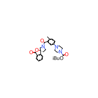 Cc1ccc(N2CCN(C(=O)OCC(C)C)CC2)cc1C(=O)N1CC[C@@]2(C1)OC(=O)c1ccccc12